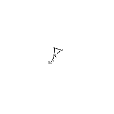 [Au][N]1CC1